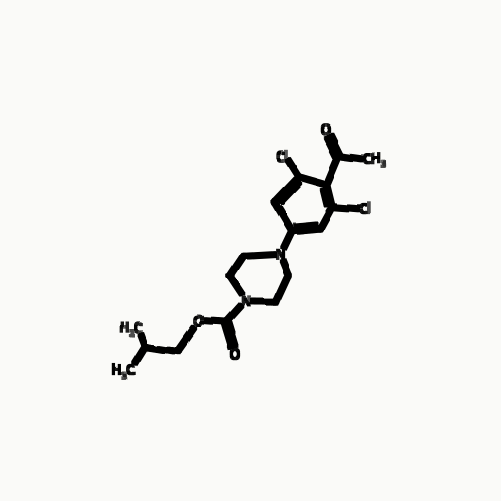 CC(=O)c1c(Cl)cc(N2CCN(C(=O)OCC(C)C)CC2)cc1Cl